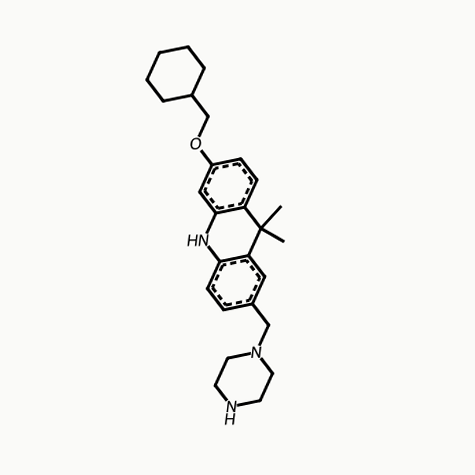 CC1(C)c2ccc(OCC3CCCCC3)cc2Nc2ccc(CN3CCNCC3)cc21